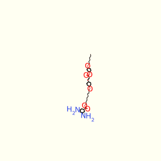 CCCCCCOc1ccc(OC(=O)/C=C/c2ccc(OCCCCCCCCOC(=O)c3cc(N)cc(N)c3)cc2)cc1